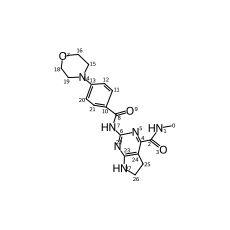 CNC(=O)c1nc(NC(=O)c2ccc(N3CCOCC3)cc2)nc2c1CCN2